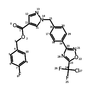 O=C(OCc1ccc(F)cc1)c1cnn(Cc2ccc(-c3noc(C(F)(F)Cl)n3)cc2)c1